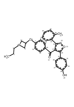 CCCN1CC(Oc2ccc(C(=O)c3c(-c4ncccc4C)noc3-c3ccc(O)cc3)cc2)C1